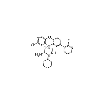 NC1O[C@]2(CN[C@H]1C1CCCCC1)c1cc(-c3cccnc3F)ccc1Oc1cnc(Cl)cc12